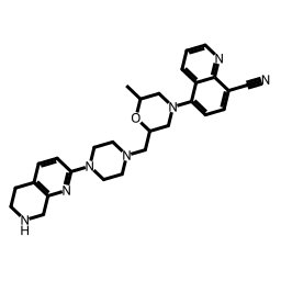 CC1CN(c2ccc(C#N)c3ncccc23)CC(CN2CCN(c3ccc4c(n3)CNCC4)CC2)O1